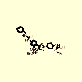 CC(C)OC(O)N[C@H]1CC[C@H](c2nc(C(F)(F)F)c(-c3ccc(NC(=O)NCc4ccccc4)cc3S(=O)(=O)NC(C)(C)C)s2)CC1